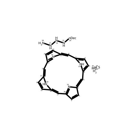 C1=Cc2cc3ccc(cc4nc(cc5ccc(cc1n2)[nH]5)C=C4)[nH]3.CCCCCCCCCCNNNN.S.[MgH2]